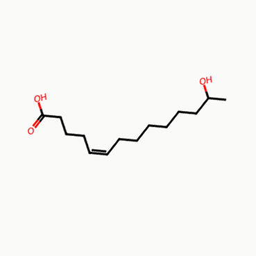 CC(O)CCCCCC/C=C\CCCC(=O)O